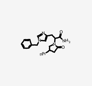 CCCC1CC(=O)N(C(Cc2cn(Cc3ccccc3)cn2)C(N)=O)C1